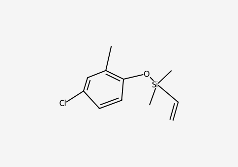 C=C[Si](C)(C)Oc1ccc(Cl)cc1C